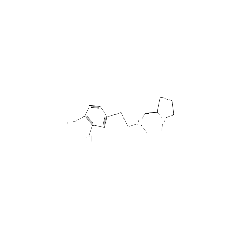 CCN1CCCC1CN(C)CCc1ccc(Cl)c(Cl)c1